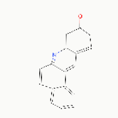 O=C1C=c2nc3ccc4ccccc4c3cc2=CC1